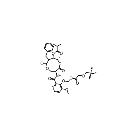 COc1ccnc(C(=O)N[C@H]2COC(=O)C(Cc3ccccc3)[C@@H](OC(=O)C(C)C)[C@H](C)OC2=O)c1OCOC(=O)COCC(F)(F)F